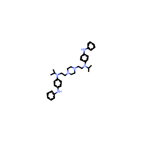 CC(C)N(CCN1CCN(CCN(c2ccc(Nc3ccccc3)cc2)C(C)C)CC1)c1ccc(Nc2ccccc2)cc1